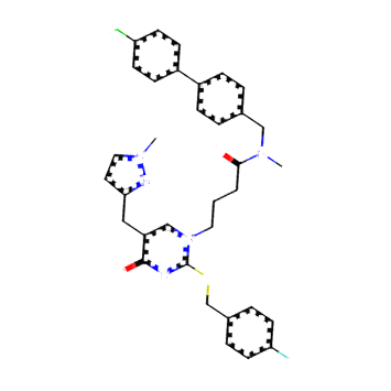 CN(Cc1ccc(-c2ccc(Cl)cc2)cc1)C(=O)CCCn1cc(Cc2ccn(C)n2)c(=O)nc1SCc1ccc(F)cc1